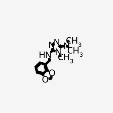 CN(C)c1nnc(NCc2cccc3c2OCO3)n1C